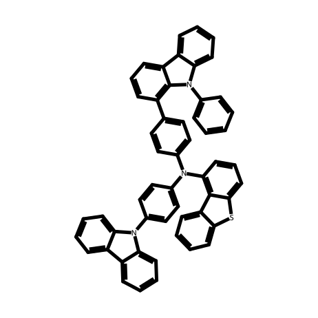 c1ccc(-n2c3ccccc3c3cccc(-c4ccc(N(c5ccc(-n6c7ccccc7c7ccccc76)cc5)c5cccc6sc7ccccc7c56)cc4)c32)cc1